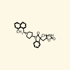 Cc1cccc2cccc(CN3CCC(N4C(=O)C(C)(CC5CNC(=O)O5)c5ccccc54)CC3)c12